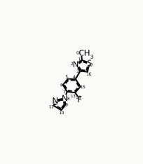 Cc1nc(-c2ccc(-n3cccn3)c(F)c2)cs1